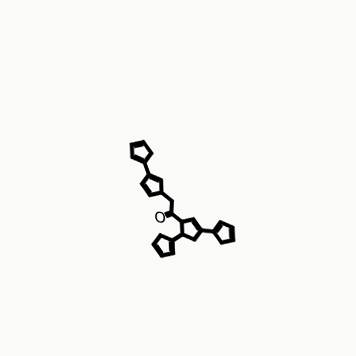 O=C(CC1C=CC(C2=CC=CC2)=C1)C1C=C(C2=CC=CC2)CC1C1=CC=CC1